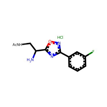 CC(=O)NCC(N)c1nc(-c2cccc(F)c2)no1.Cl